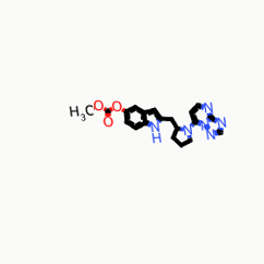 COC(=O)Oc1ccc2[nH]c(CC3CCCN3c3ccnc4ncnn34)cc2c1